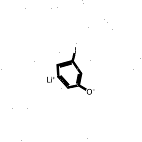 [Li+].[O-]c1cccc(I)c1